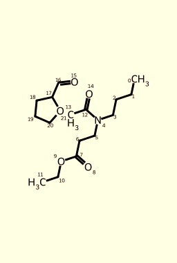 CCCCN(CCC(=O)OCC)C(C)=O.O=CC1CCCO1